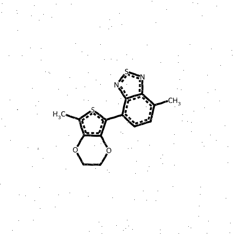 Cc1sc(-c2ccc(C)c3nsnc23)c2c1OCCO2